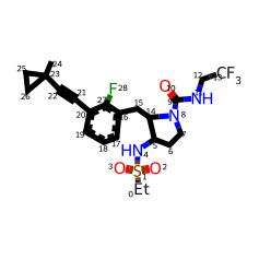 CCS(=O)(=O)NC1CCN(C(=O)NCC(F)(F)F)C1Cc1cccc(C#CC2(C)CC2)c1F